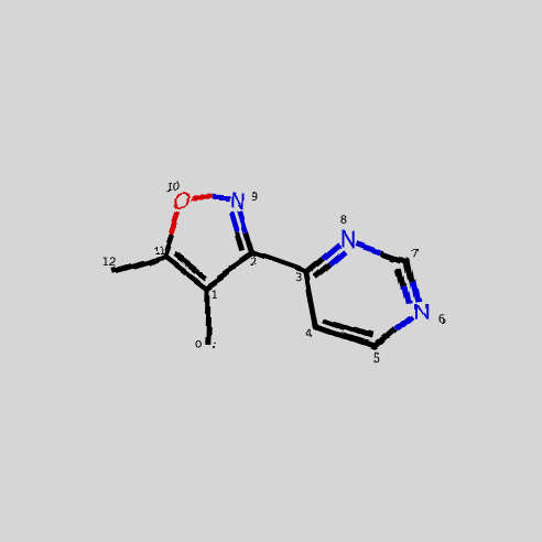 [CH]c1c(-c2ccncn2)noc1C